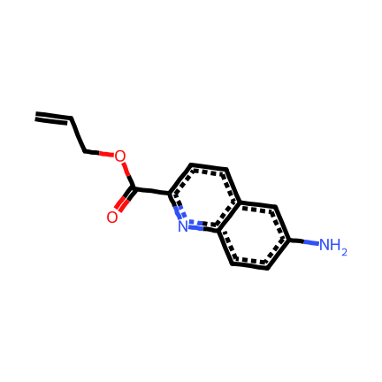 C=CCOC(=O)c1ccc2cc(N)ccc2n1